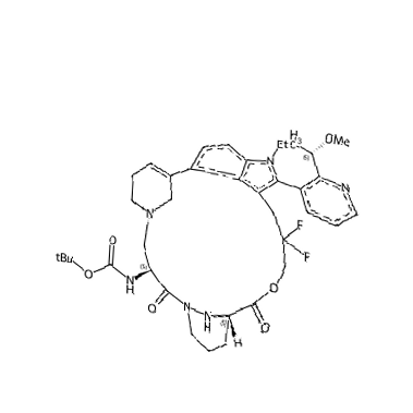 CCn1c(-c2cccnc2[C@H](C)OC)c2c3cc(ccc31)C1=CCCN(C1)C[C@H](NC(=O)OC(C)(C)C)C(=O)N1CCC[C@H](N1)C(=O)OCC(F)(F)C2